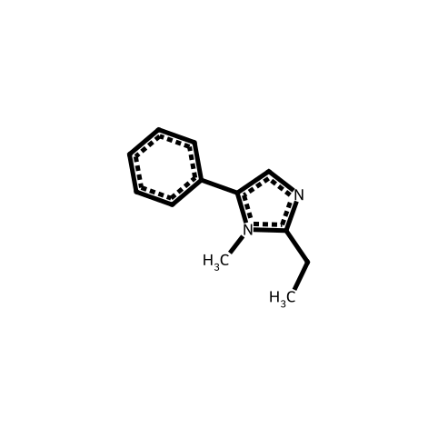 CCc1ncc(-c2ccccc2)n1C